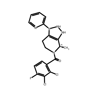 C[C@@H]1C2=C(CCN1C(=O)c1ccc(F)c(Cl)c1Cl)N(c1ccccn1)NN2